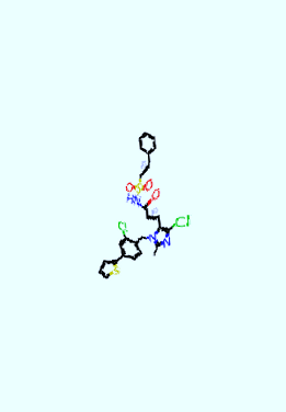 Cc1nc(Cl)c(/C=C/C(=O)NS(=O)(=O)/C=C/c2ccccc2)n1Cc1ccc(-c2cccs2)cc1Cl